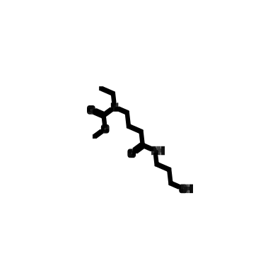 CCN(CCCC(=O)NCCCO)C(=O)OC